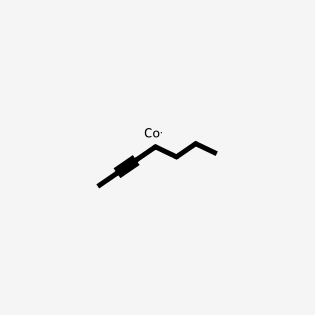 CC#CCCCC.[Co]